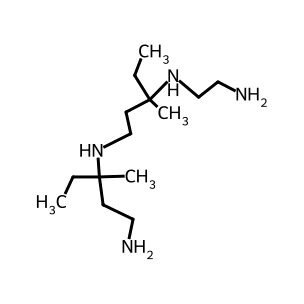 CCC(C)(CCN)NCCC(C)(CC)NCCN